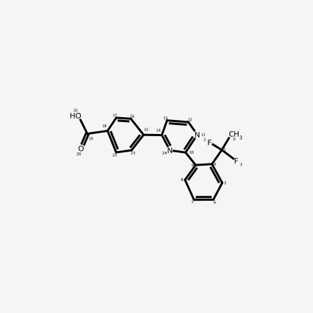 CC(F)(F)c1ccccc1-c1nccc(-c2ccc(C(=O)O)cc2)n1